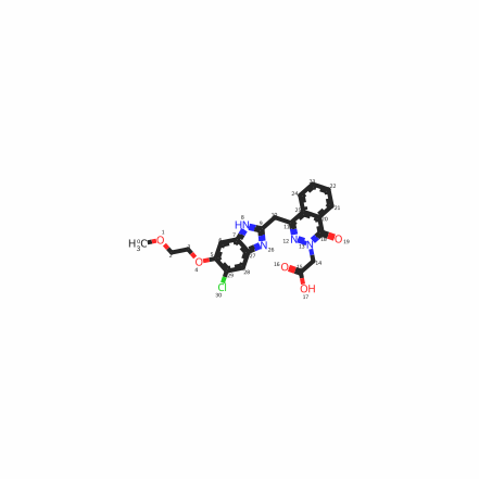 COCCOc1cc2[nH]c(Cc3nn(CC(=O)O)c(=O)c4ccccc34)nc2cc1Cl